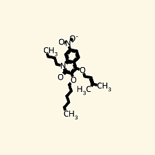 CCCCCCOc1c(OCC=C(C)C)c2ccc([N+](=O)[O-])cc2n(CCCC)c1=O